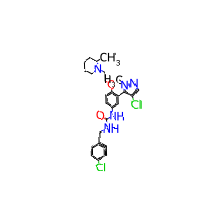 CC1CCCCN1CCOc1ccc(NC(=O)NCc2ccc(Cl)cc2)cc1-c1c(Cl)cnn1C